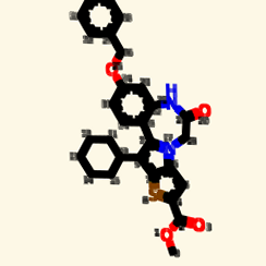 COC(=O)c1cc2c(s1)c(C1CCCCC1)c1n2CC(=O)Nc2cc(OCc3ccccc3)ccc2-1